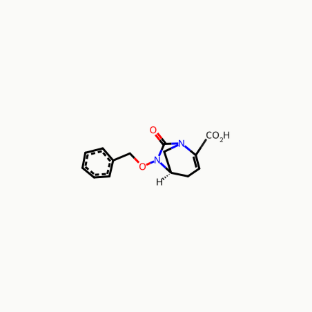 O=C(O)C1=CC[C@@H]2CN1C(=O)N2OCc1ccccc1